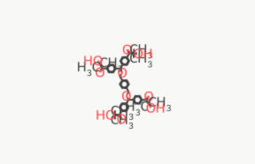 CC(C)(O)C(=O)c1ccc(C(OCc2ccc(COC(c3ccc(C(=O)C(C)(C)O)cc3)c3ccc(C(=O)C(C)(C)O)cc3)cc2)c2ccc(C(=O)C(C)(C)O)cc2)cc1